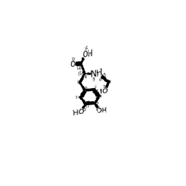 CCO.N[C@@H](Cc1ccc(O)c(O)c1)C(=O)O